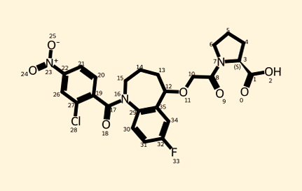 O=C(O)[C@@H]1CCCN1C(=O)COC1CCCN(C(=O)c2ccc([N+](=O)[O-])cc2Cl)c2ccc(F)cc21